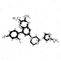 Cc1nc2cc(N3CCO[C@@H](c4cnn(C)c4)C3)cc(-c3ccc(F)cc3F)c2nc1C